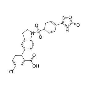 O=C(O)C1=CC(Cl)=CCC1c1ccc2c(c1)CCN2S(=O)(=O)C1C=CC(c2noc(=O)[nH]2)=CC1